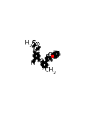 Cc1ccc(OCc2ccc(CN3CCO[C@H](C)C3)cc2C#N)c(-c2csc(N3CC4CCC(C3)C4C=O)n2)c1